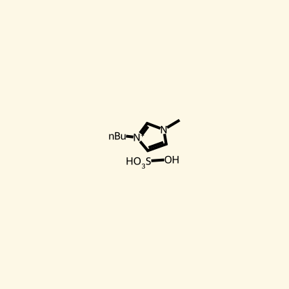 CCCC[n+]1ccn(C)c1.O=S(=O)(O)O